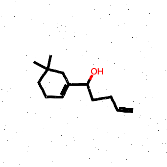 C=CCCC(O)C1=CCCC(C)(C)C1